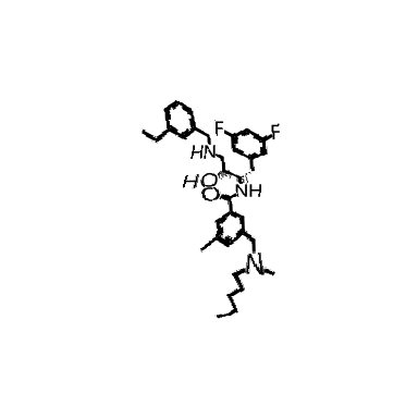 CCCCCN(C)Cc1cc(C)cc(C(=O)N[C@@H](Cc2cc(F)cc(F)c2)[C@H](O)CNCc2cccc(CC)c2)c1